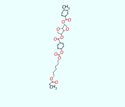 C=CC(=O)OCCCCCCOC(=O)Oc1ccc(C(=O)O[C@H]2COC3C2OC[C@H]3OC(=O)c2ccc(C)cc2)cc1